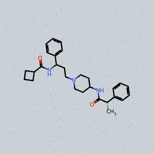 C[C@H](C(=O)NC1CCN(CCC(NC(=O)C2CCC2)c2ccccc2)CC1)c1ccccc1